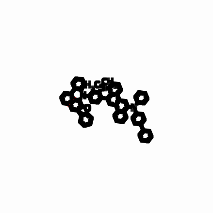 C[Si]1(C)c2cc(N(c3ccccc3-c3ccccc3)c3cccc4c3oc3ccccc34)ccc2-c2cc3c4ccccc4c(N(c4ccccc4)c4ccc(-c5ccccc5)cc4)cc3c3cccc1c23